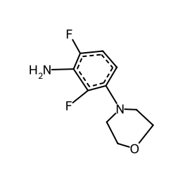 Nc1c(F)ccc(N2CCOCC2)c1F